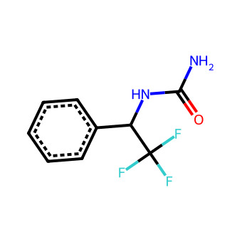 NC(=O)NC(c1ccccc1)C(F)(F)F